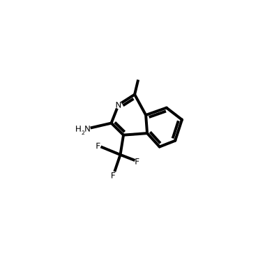 Cc1nc(N)c(C(F)(F)F)c2ccccc12